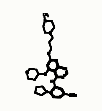 COc1ccc(N2CCCC2)c(Nc2ncnc3cc(OCCCN4CCN(C)CC4)cc(OC4CCOCC4)c23)c1